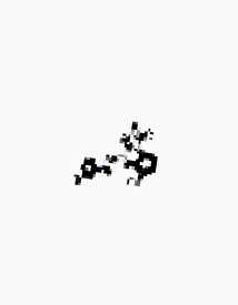 C/C(=N\OCc1c(Cl)cccc1-n1nnn(C)c1=O)c1cccc(C#N)c1